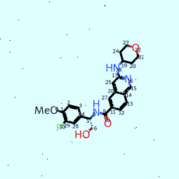 COc1ccc([C@@H](CO)NC(=O)c2ccc3cnc(NC4CCOCC4)cc3c2)cc1F